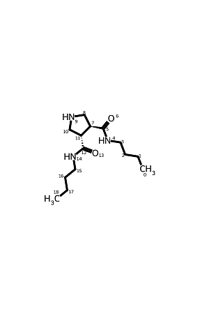 CCCCNC(=O)[C@@H]1CNC[C@H]1C(=O)NCCCC